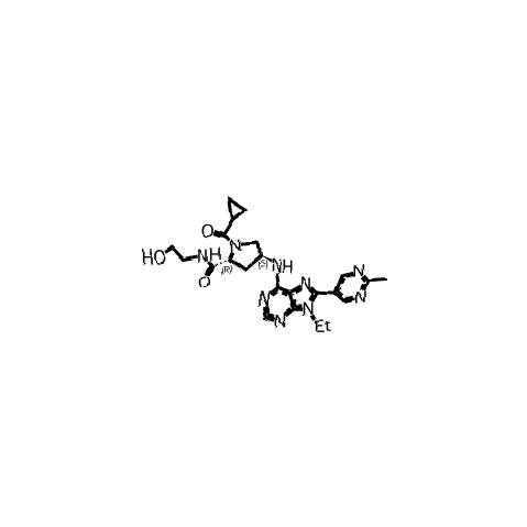 CCn1c(-c2cnc(C)nc2)nc2c(N[C@H]3C[C@H](C(=O)NCCO)N(C(=O)C4CC4)C3)ncnc21